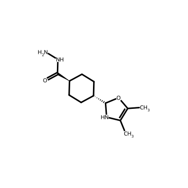 CC1=C(C)OC([C@H]2CC[C@H](C(=O)NN)CC2)N1